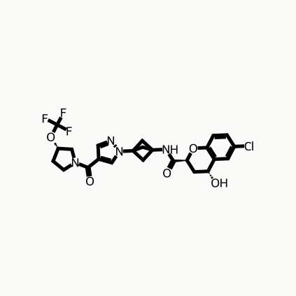 O=C(NC12CC(n3cc(C(=O)N4CC[C@H](OC(F)(F)F)C4)cn3)(C1)C2)[C@@H]1C[C@@H](O)c2cc(Cl)ccc2O1